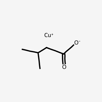 CC(C)CC(=O)[O-].[Cu+]